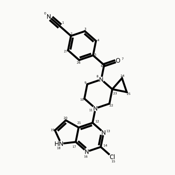 N#Cc1ccc(C(=O)N2CCN(c3nc(Cl)nc4[nH]ccc34)CC23CC3)cc1